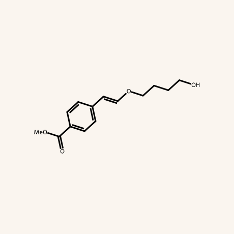 COC(=O)c1ccc(/C=C/OCCCCO)cc1